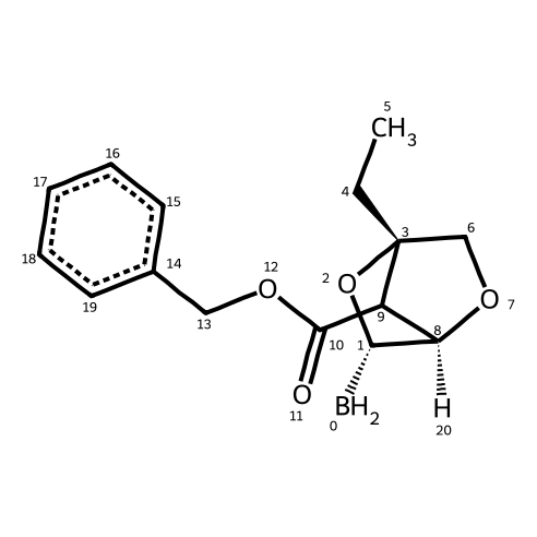 B[C@@H]1O[C@]2(CC)CO[C@@H]1C2C(=O)OCc1ccccc1